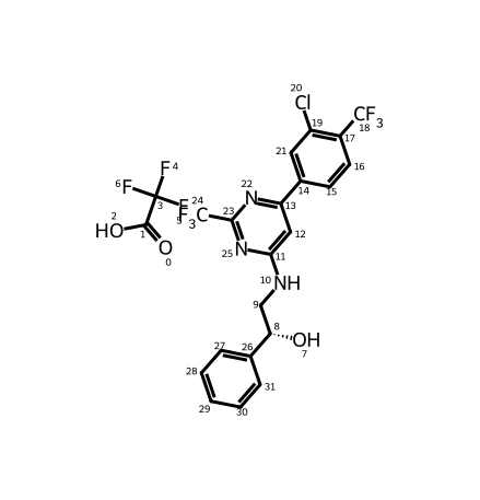 O=C(O)C(F)(F)F.O[C@@H](CNc1cc(-c2ccc(C(F)(F)F)c(Cl)c2)nc(C(F)(F)F)n1)c1ccccc1